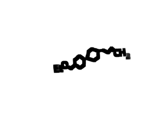 C=CCC[C@H]1CC[C@H](C2CCC(COCC)CC2)CC1